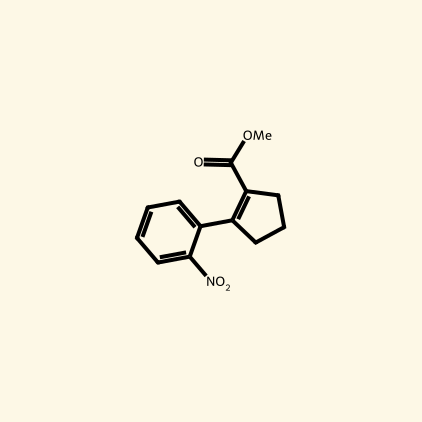 COC(=O)C1=C(c2ccccc2[N+](=O)[O-])CCC1